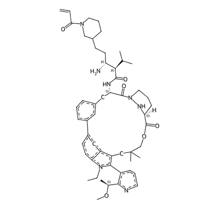 C=CC(=O)N1CCCC(CC[C@@H](N)[C@H](C(=O)N[C@H]2Cc3cccc(c3)-c3ccc4c(c3)c(c(-c3cccnc3[C@H](C)OC)n4CC)CC(C)(C)COC(=O)[C@@H]3CCCN(N3)C2=O)C(C)C)C1